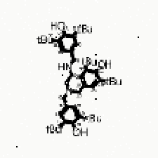 CC(C)(C)c1cc(CNCCN(Cc2cc(C(C)(C)C)c(O)c(C(C)(C)C)c2)Cc2cc(C(C)(C)C)c(O)c(C(C)(C)C)c2)cc(C(C)(C)C)c1O